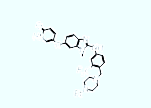 CCN1CCN(Cc2ccc(Nc3nc4ccc(Oc5ccc(=O)[nH]c5)cc4n3C)cc2C(F)(F)F)CC1